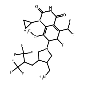 COC1=c2c(c(=O)[nH]c(=O)n2C2CC2)=C(C(F)F)C(F)C1N1CC(CN)C(CC(C(F)(F)F)C(F)(F)F)C1